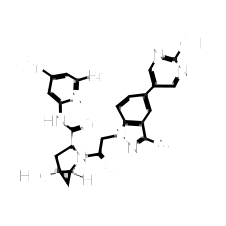 CCCc1cc(Br)nc(NC(=O)[C@@H]2C[C@@]3(C)C[C@H]3N2C(=O)Cn2nc(C(C)=O)c3cc(-c4cnc(C)nc4)ccc32)c1